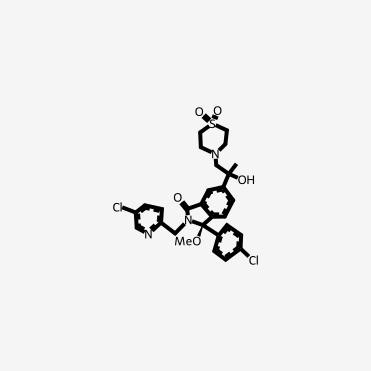 CO[C@]1(c2ccc(Cl)cc2)c2ccc(C(C)(O)CN3CCS(=O)(=O)CC3)cc2C(=O)N1Cc1ccc(Cl)cn1